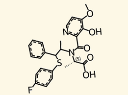 COc1ccnc(C(=O)N(C(C)C(Sc2ccc(F)cc2)c2ccccc2)[C@@H](C)C(=O)O)c1O